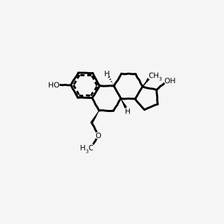 COC[C@@H]1C[C@H]2C3CCC(O)[C@@]3(C)CC[C@@H]2c2ccc(O)cc21